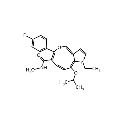 CCn1ccc2coc(-c3ccc(F)cc3)c(C(=O)NC)ccc(OC(C)C)c21